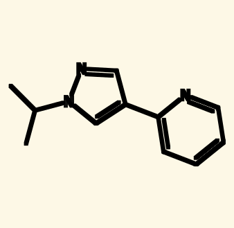 CC(C)n1cc(-c2ccccn2)cn1